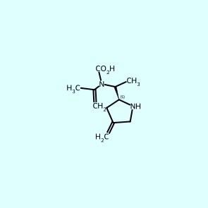 C=C1CN[C@H](C(C)N(C(=C)C)C(=O)O)C1